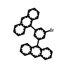 Brc1cc(-c2c3ccccc3cc3ccccc23)cc(-c2c3ccccc3cc3ccccc23)c1